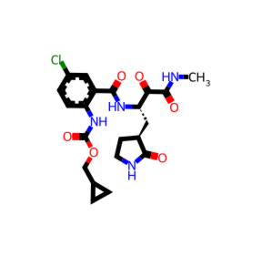 CNC(=O)C(=O)[C@H](C[C@@H]1CCNC1=O)NC(=O)c1cc(Cl)ccc1NC(=O)OCC1CC1